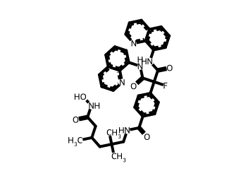 CC(CC(=O)NO)CC(C)(C)CNC(=O)c1ccc(C(F)(C(=O)Nc2cccc3cccnc23)C(=O)Nc2cccc3cccnc23)cc1